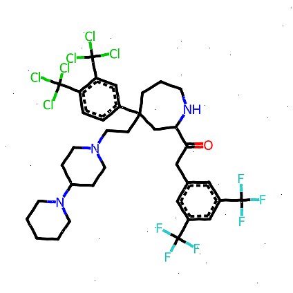 O=C(Cc1cc(C(F)(F)F)cc(C(F)(F)F)c1)C1CC(CCN2CCC(N3CCCCC3)CC2)(c2ccc(C(Cl)(Cl)Cl)c(C(Cl)(Cl)Cl)c2)CCCN1